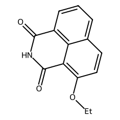 CCOc1ccc2cccc3c2c1C(=O)NC3=O